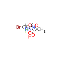 Cc1cc(C(=O)O)c(NC(=O)c2ccc(Br)cc2F)n(C)c1=O